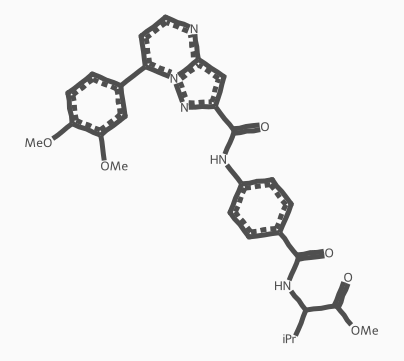 COC(=O)C(NC(=O)c1ccc(NC(=O)c2cc3nccc(-c4ccc(OC)c(OC)c4)n3n2)cc1)C(C)C